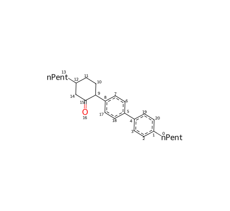 CCCCCc1ccc(-c2ccc(C3CCC(CCCCC)CC3=O)cc2)cc1